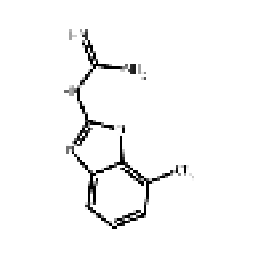 N=C(N)Nc1nc2cccc(C(F)(F)F)c2o1